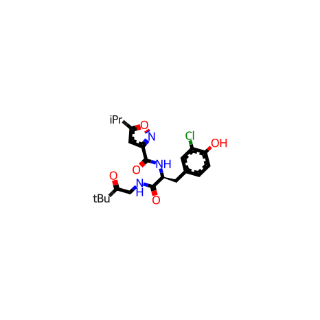 CC(C)c1cc(C(=O)N[C@@H](Cc2ccc(O)c(Cl)c2)C(=O)NCC(=O)C(C)(C)C)no1